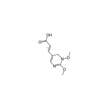 COC1=NC=C(/C=C/C(=O)O)CN1OC